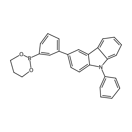 c1ccc(-n2c3ccccc3c3cc(-c4cccc(B5OCCCO5)c4)ccc32)cc1